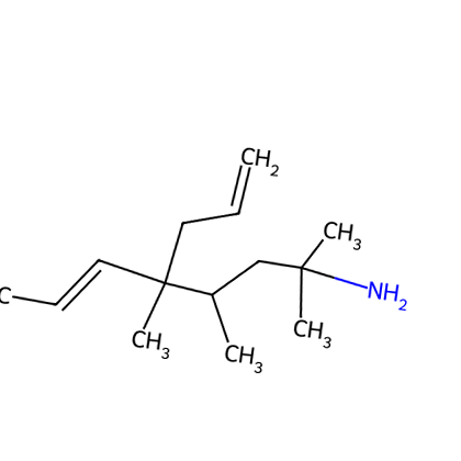 C=CCC(C)(C=CC)C(C)CC(C)(C)N